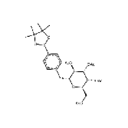 CC(=O)OC[C@H]1O[C@H](Cc2ccc(B3OC(C)(C)C(C)(C)O3)cc2)[C@@H](OC(C)=O)[C@H](OC(C)=O)[C@@H]1OC(C)=O